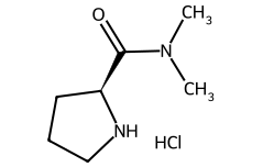 CN(C)C(=O)[C@@H]1CCCN1.Cl